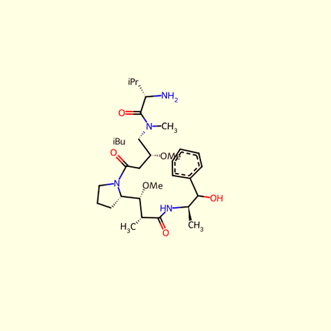 CC[C@H](C)[C@@H]([C@@H](CC(=O)N1CCC[C@H]1[C@H](OC)[C@@H](C)C(=O)N[C@H](C)C(O)c1ccccc1)OC)N(C)C(=O)[C@@H](N)C(C)C